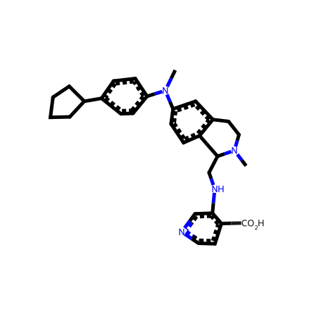 CN(c1ccc(C2CCCC2)cc1)c1ccc2c(c1)CCN(C)C2CNc1cnccc1C(=O)O